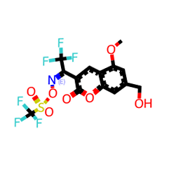 COc1cc(CO)cc2oc(=O)c(/C(=N\OS(=O)(=O)C(F)(F)F)C(F)(F)F)cc12